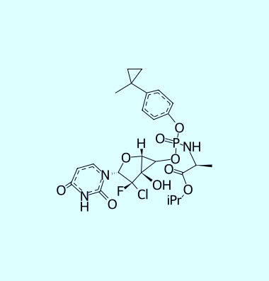 CC(C)OC(=O)[C@H](C)NP(=O)(Oc1ccc(C2(C)CC2)cc1)OC1[C@H]2O[C@@H](n3ccc(=O)[nH]c3=O)[C@@](F)(Cl)[C@@]12O